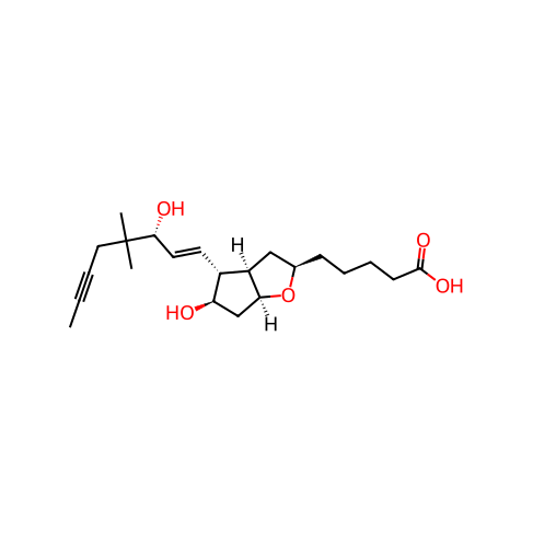 CC#CCC(C)(C)[C@H](O)/C=C/[C@@H]1[C@H]2C[C@@H](CCCCC(=O)O)O[C@H]2C[C@H]1O